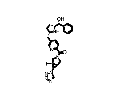 O=C(c1ccc(C[C@@H]2CC[C@H]([C@H](O)c3ccccc3)N2)cn1)N1CC2C(n3cnnn3)[C@H]2C1